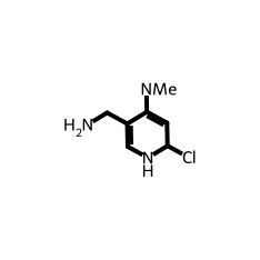 CNC1=CC(Cl)NC=C1CN